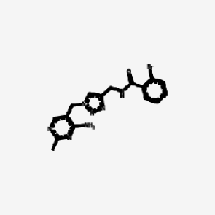 Cc1ncc(Cn2cc(CNC(=O)c3ccccc3Br)nn2)c(N)n1